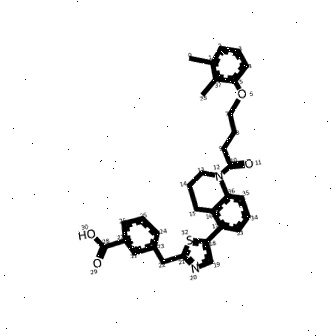 Cc1cccc(OCCCC(=O)N2CCCc3c(-c4cnc(Cc5cccc(C(=O)O)c5)s4)cccc32)c1C